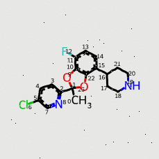 CC1(c2ccc(Cl)cn2)Oc2c(F)ccc(C3CCNCC3)c2O1